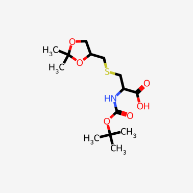 CC(C)(C)OC(=O)NC(CSCC1COC(C)(C)O1)C(=O)O